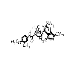 COc1ccc(NC(=O)N2CCN(c3nc(N)nc4c(C)nn(C)c34)[C@@H](C)C2)cc1C